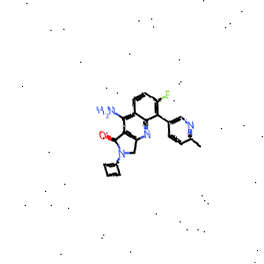 Cc1ccc(-c2c(F)ccc3c(N)c4c(nc23)CN(C2=CC=C2)C4=O)cn1